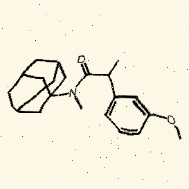 COc1cccc(C(C)C(=O)N(C)C23CC4CC(CC(C4)C2)C3)c1